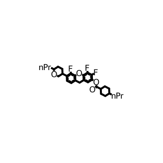 CCCC1CCC(C(=O)Oc2cc3c(c(F)c2F)Oc2c(ccc(C4CCC(CCC)OC4)c2F)C3)CC1